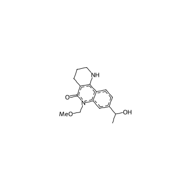 COCn1c(=O)c2c(c3ccc(C(C)O)cc31)NCCC2